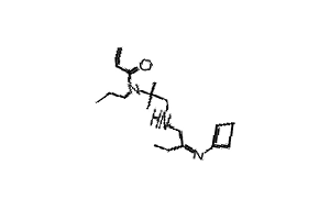 C=CC(=O)N(CCC)C(C)(C)CNCC(CC)=NC1=CCC1